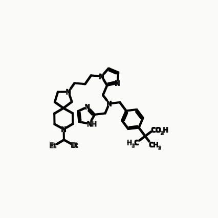 CCC(CC)N1CCC2(CCN(CCCn3ccnc3CN(Cc3ccc(C(C)(C)C(=O)O)cc3)Cc3ncc[nH]3)C2)CC1